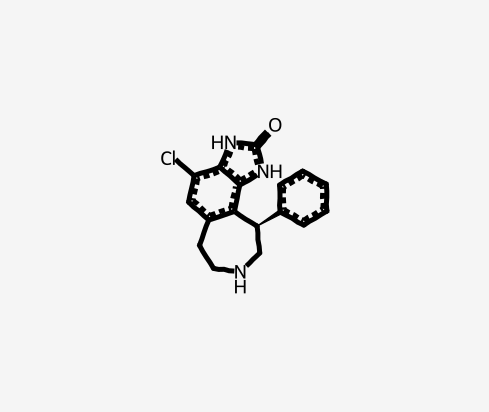 O=c1[nH]c2c(Cl)cc3c(c2[nH]1)[C@@H](c1ccccc1)CNCC3